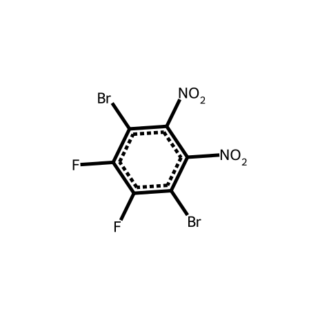 O=[N+]([O-])c1c(Br)c(F)c(F)c(Br)c1[N+](=O)[O-]